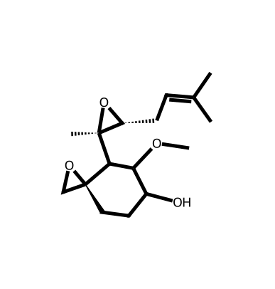 COC1C(O)CC[C@]2(CO2)C1[C@@]1(C)O[C@@H]1CC=C(C)C